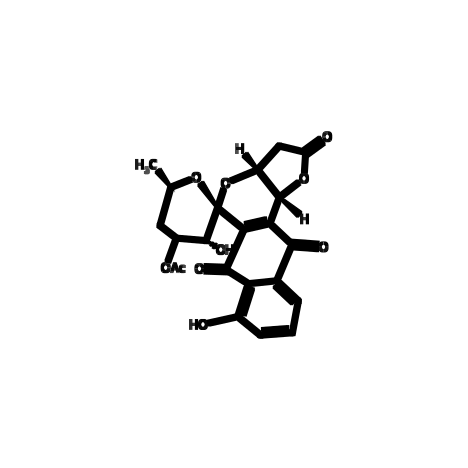 CC(=O)OC1C[C@@H](C)O[C@]2(O[C@@H]3CC(=O)O[C@@H]3C3=C2C(=O)c2c(O)cccc2C3=O)[C@@H]1O